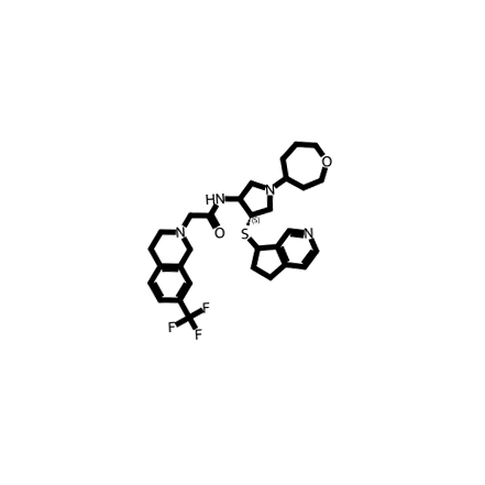 O=C(CN1CCc2ccc(C(F)(F)F)cc2C1)NC1CN(C2CCCOCC2)C[C@@H]1SC1CCc2ccncc21